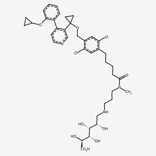 CN(CCCNC[C@H](O)[C@@H](O)[C@H](O)[C@H](O)C(=O)O)C(=O)CCCCc1cc(Cl)c(COC2(c3cnccc3-c3ccccc3OC3CC3)CC2)cc1Cl